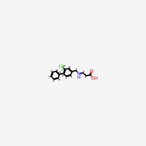 O=C(O)CCNCc1ccc(-c2ccccc2)c(Cl)c1